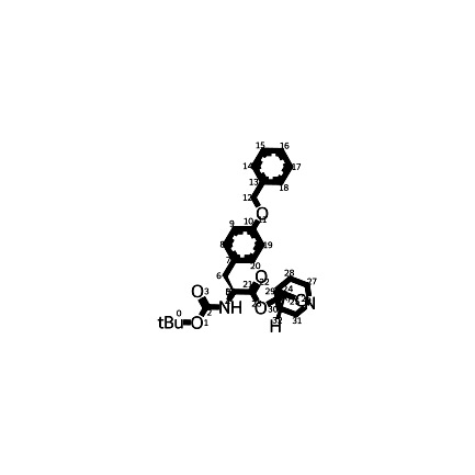 CC(C)(C)OC(=O)N[C@@H](Cc1ccc(OCc2ccccc2)cc1)C(=O)O[C@H]1CN2CCC1CC2